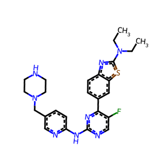 CCN(CC)c1nc2ccc(-c3nc(Nc4ccc(CN5CCNCC5)cn4)ncc3F)cc2s1